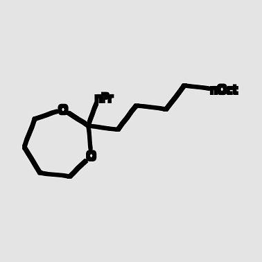 CCCCCCCCCCCCC1(CCC)OCCCCO1